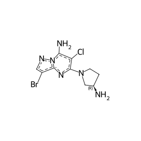 Nc1c(Cl)c(N2CC[C@@H](N)C2)nc2c(Br)cnn12